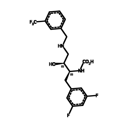 O=C(O)N[C@@H](Cc1cc(F)cc(F)c1)[C@@H](O)CNCc1cccc(C(F)(F)F)c1